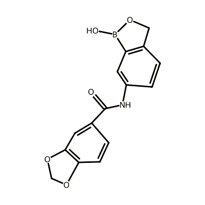 O=C(Nc1ccc2c(c1)B(O)OC2)c1ccc2c(c1)OCO2